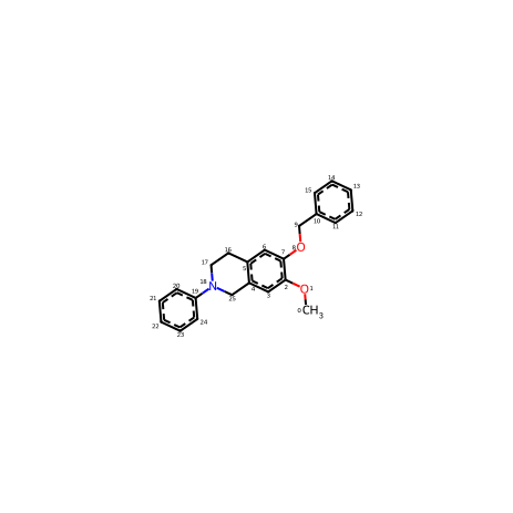 COc1cc2c(cc1OCc1ccccc1)CCN(c1ccccc1)C2